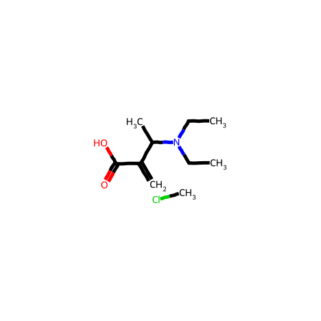 C=C(C(=O)O)C(C)N(CC)CC.CCl